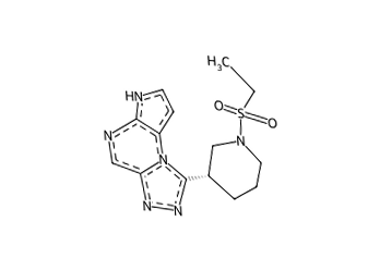 CCS(=O)(=O)N1CCC[C@H](c2nnc3cnc4[nH]ccc4n23)C1